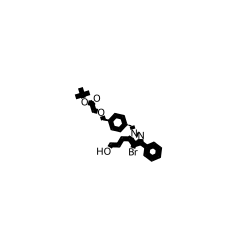 CC(C)(C)OC(=O)COC[C@H]1CC[C@H](Cn2nc(-c3ccccc3)c(Br)c2CCCO)CC1